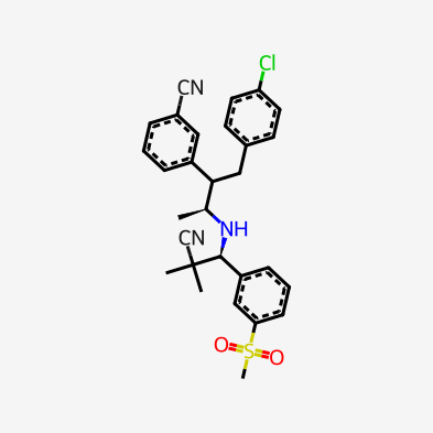 C[C@H](N[C@@H](c1cccc(S(C)(=O)=O)c1)C(C)(C)C#N)C(Cc1ccc(Cl)cc1)c1cccc(C#N)c1